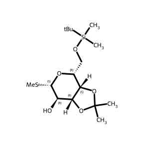 CS[C@@H]1O[C@H](CO[Si](C)(C)C(C)(C)C)[C@@H]2OC(C)(C)O[C@@H]2[C@H]1O